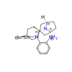 C#CN(c1ccccc1N)[C@@]1(C)C[C@H]2CC[C@@H](C1)N2[C@H]1CC[C@H](C(C)(C)C)CC1